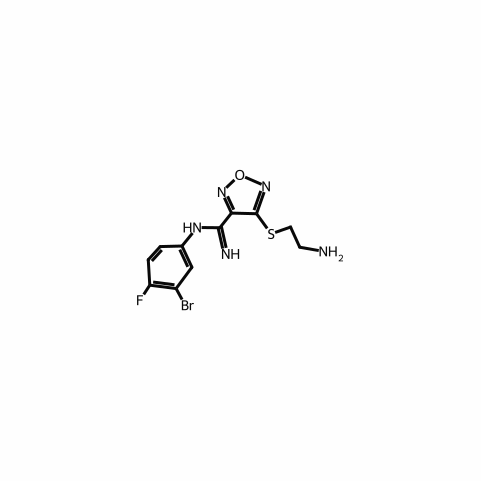 N=C(Nc1ccc(F)c(Br)c1)c1nonc1SCCN